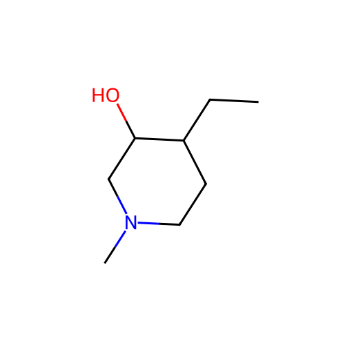 CCC1CCN(C)CC1O